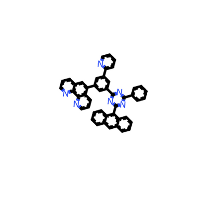 c1ccc(-c2nc(-c3cc(-c4ccccn4)cc(-c4cc5cccnc5c5ncccc45)c3)nc(-c3c4ccccc4cc4ccccc34)n2)cc1